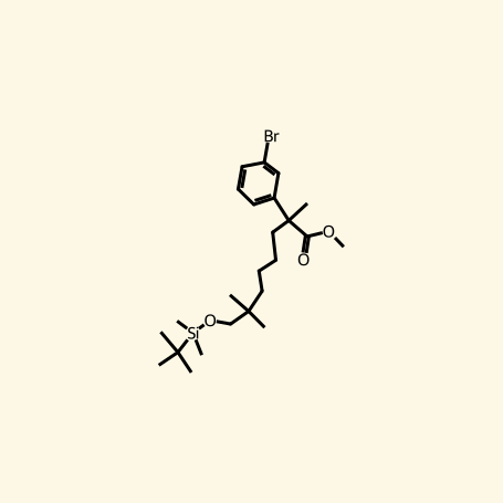 COC(=O)C(C)(CCCCC(C)(C)CO[Si](C)(C)C(C)(C)C)c1cccc(Br)c1